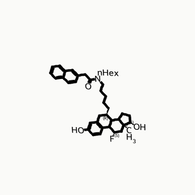 CCCCCCN(CCCCC[C@@H]1Cc2cc(O)ccc2C2C1C1CC[C@H](O)[C@@]1(C)C[C@@H]2F)C(=O)Cc1ccc2ccccc2c1